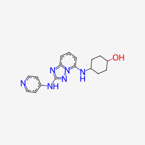 OC1CCC(Nc2cccc3nc(Nc4ccncc4)nn23)CC1